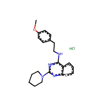 COc1ccc(CCNc2nc(N3CCCCC3)nc3ccccc23)cc1.Cl